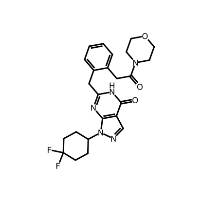 O=C(Cc1ccccc1Cc1nc2c(cnn2C2CCC(F)(F)CC2)c(=O)[nH]1)N1CCOCC1